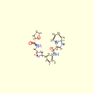 Cc1ccc(-c2noc(CNC(=O)[C@@H]3CCCO3)n2)cc1NC(=O)c1cnc2ccccn12